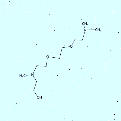 CN(C)CCOCCOCCN(C)CCO